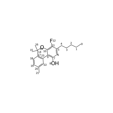 CCCCCc1cc(O)c2c(c1F)OC(C)(C)c1ccc(C)cc1-2